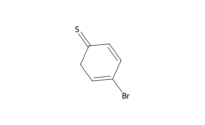 S=C1C=CC(Br)=CC1